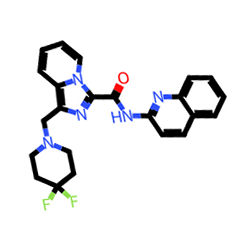 O=C(Nc1ccc2ccccc2n1)c1nc(CN2CCC(F)(F)CC2)c2ccccn12